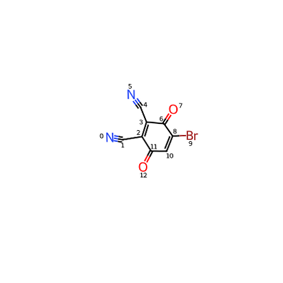 N#CC1=C(C#N)C(=O)C(Br)=CC1=O